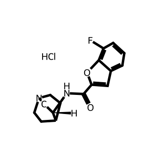 Cl.O=C(N[C@H]1CN2CCC1CC2)c1cc2cccc(F)c2o1